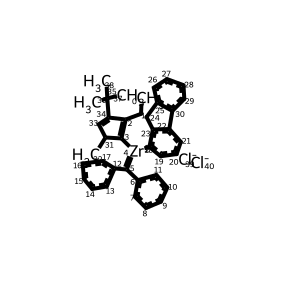 CCC1=[C]([Zr+2](=[C](c2ccccc2)c2ccccc2)[c]2cccc3c2Cc2ccccc2-3)C(C)C=C1C(C)(C)C.[Cl-].[Cl-]